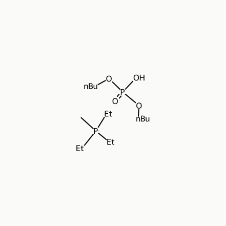 CCCCOP(=O)(O)OCCCC.CC[P](C)(CC)CC